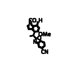 COc1cc(C)c2c(ccn2C(=O)O)c1C(C)c1nc2cc(C#N)ccc2o1